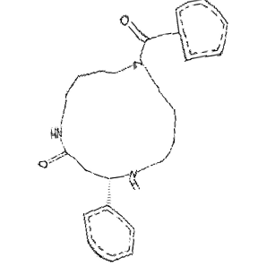 O=C1C[C@@H](c2ccccc2)NCCCCN(C(=O)c2ccccc2)CCCN1